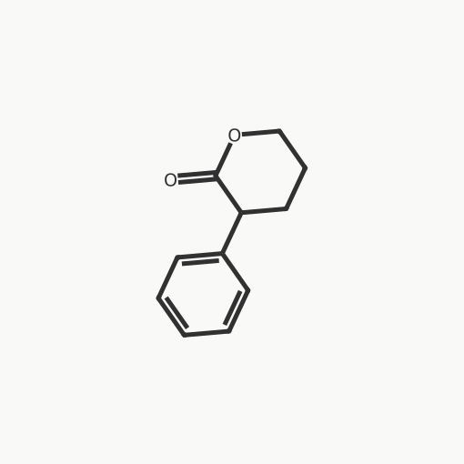 O=C1OCCCC1c1ccccc1